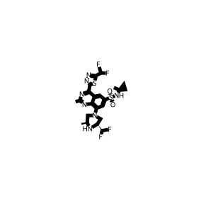 Cc1nc(-c2nnc(C(F)F)s2)c2cc(S(=O)(=O)NC3(C)CC3)cc(N3C[C@H](C)N[C@@H](C(F)F)C3)c2n1